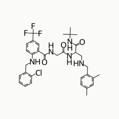 Cc1ccc(CNCC(NC(=O)CNC(=O)c2cc(C(F)(F)F)ccc2NCc2ccccc2Cl)C(=O)NC(C)(C)C)c(C)c1